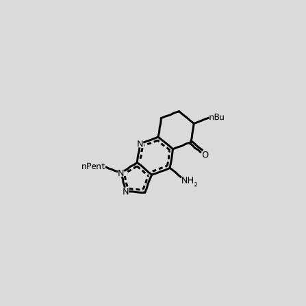 CCCCCn1ncc2c(N)c3c(nc21)CCC(CCCC)C3=O